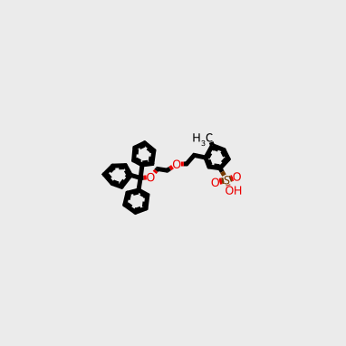 Cc1ccc(S(=O)(=O)O)cc1CCOCCOC(c1ccccc1)(c1ccccc1)c1ccccc1